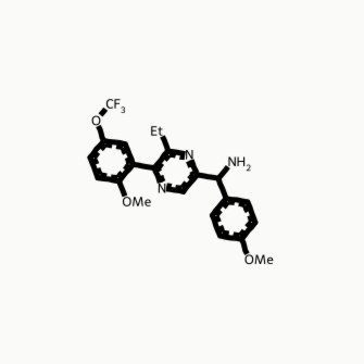 CCc1nc(C(N)c2ccc(OC)cc2)cnc1-c1cc(OC(F)(F)F)ccc1OC